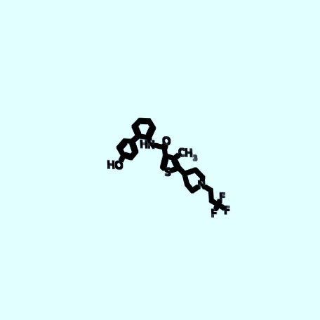 Cc1c(C(=O)Nc2ccccc2-c2ccc(O)cc2)csc1C1CCN(CCC(F)(F)F)CC1